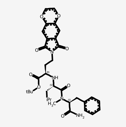 CC(C)C[C@H](N[C@H](CCn1c(=O)c2cc3occoc3cc2c1=O)C(=O)OC(C)(C)C)C(=O)N(C)[C@@H](Cc1ccccc1)C(N)=O